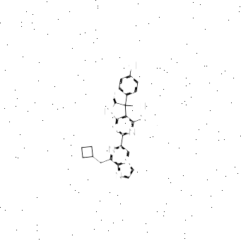 CC1(c2ccc(Cl)cc2)C(=O)Nc2nc(-c3cn4ccnc4c(CC4CCC4)n3)nc(N)c21